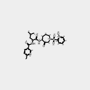 Cc1ccc(C(=O)NC(CC(C)C)C(=O)N[C@H]2CCCN(S(=O)(=O)c3cccc[n+]3[O-])CC2=O)cn1